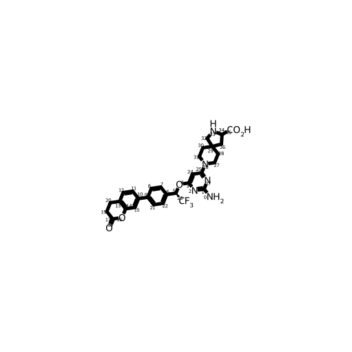 Nc1nc(O[C@H](c2ccc(-c3ccc4c(c3)OC(=O)CC4)cc2)C(F)(F)F)cc(N2CCC3(CC2)CNC(C(=O)O)C3)n1